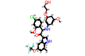 COC1=CC(NC(C(=O)c2c[nH]c3c(C)cc(OC(F)(F)F)cc23)c2ccc(Cl)cc2OC)=CC(OCCO)C1